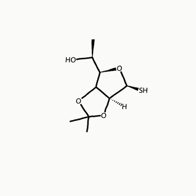 C[C@H](O)[C@H]1O[C@@H](S)[C@H]2OC(C)(C)OC12